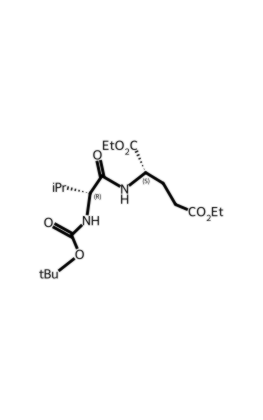 CCOC(=O)CC[C@H](NC(=O)[C@H](NC(=O)OC(C)(C)C)C(C)C)C(=O)OCC